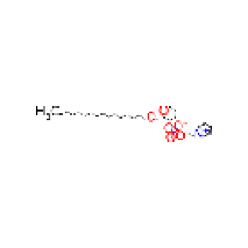 CCCCCCCCCCCCCCCCOC[C@@H]1OCCC[C@H]1OP(=O)([O-])OCC[n+]1ccccc1